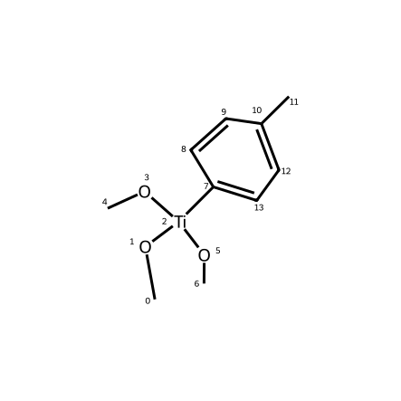 C[O][Ti]([O]C)([O]C)[c]1ccc(C)cc1